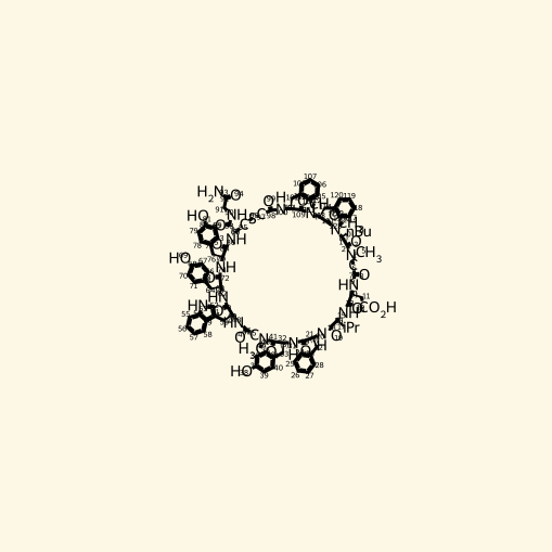 CCCC[C@H]1C(=O)N(C)CC(=O)N[C@@H](CC(=O)O)C(=O)N[C@@H](C(C)C)C(=O)N[C@@H](Cc2ccccc2)C(=O)N[C@@H](Cc2ccc(O)cc2)C(=O)N(C)CC(=O)N[C@@H](Cc2c[nH]c3ccccc23)C(=O)N[C@@H](Cc2ccc(O)cc2)C(=O)N[C@@H](Cc2ccc(O)cc2)C(=O)N[C@H](C(=O)NCC(N)=O)CSCC(=O)N[C@@H](Cc2ccccc2)C(=O)N(C)[C@@H](Cc2ccccc2)C(=O)N1C